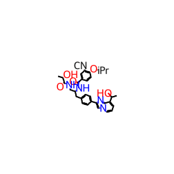 CC(C)Oc1ccc(C(=O)NC(CNC(=O)C(C)O)Cc2ccc(-c3cn4cccc(C(C)O)c4n3)cc2)cc1C#N